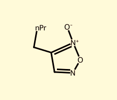 CCCCc1cno[n+]1[O-]